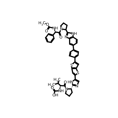 COC(=O)N[C@@H](C(=O)N1CCCC1c1nc2cc(-c3ccc(-c4cc5sc(-c6cnc([C@@H]7CCCN7C(=O)[C@@H](NC(=O)O)C(C)C)[nH]6)cc5s4)cc3)ccc2[nH]1)c1ccccc1